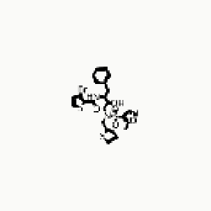 Cc1oncc1S(=O)(=O)N(CC1CC=CS1)CC(O)C(Cc1ccccc1)NC(=O)c1sccc1Br